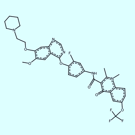 COc1cc2c(Oc3ccc(NC(=O)c4c(C)n(C)c5ccc(OC(F)(F)F)cc5c4=O)cc3F)ncnc2cc1OCCN1CCCCC1